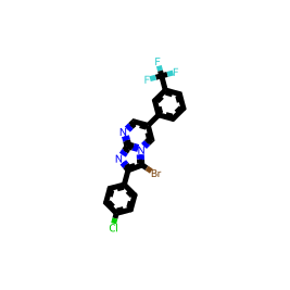 FC(F)(F)c1cccc(-c2cnc3nc(-c4ccc(Cl)cc4)c(Br)n3c2)c1